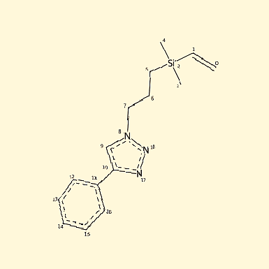 C=C[Si](C)(C)CCCn1cc(-c2ccccc2)nn1